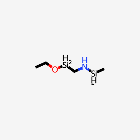 CCO[SiH2]CN[SiH](C)C